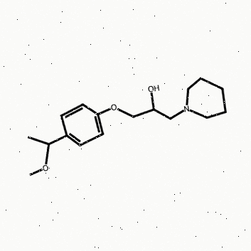 COC(C)c1ccc(OCC(O)CN2CCCCC2)cc1